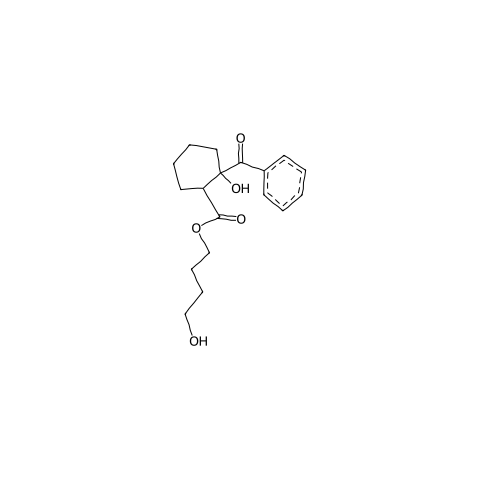 O=C(OCCCCO)C1CCCCC1(O)C(=O)c1ccccc1